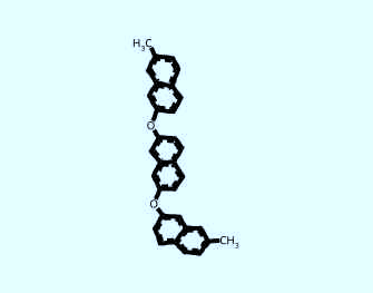 Cc1ccc2ccc(Oc3ccc4ccc(Oc5ccc6ccc(C)cc6c5)cc4c3)cc2c1